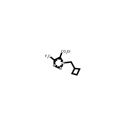 CCOC(=O)c1c(C(F)(F)F)nnn1CC1CCC1